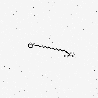 CS(C)(C)C#CCCCCCCCCCCCCOCCCOC1CCCCO1